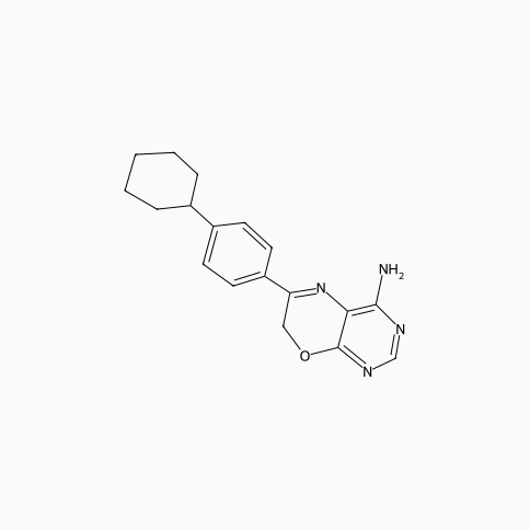 Nc1ncnc2c1N=C(c1ccc(C3CCCCC3)cc1)CO2